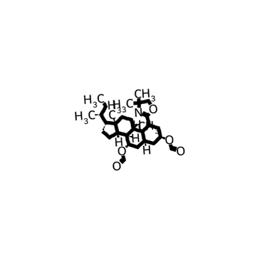 CC[C@@H](C)[C@H]1CC[C@H]2[C@@H]3[C@H](OC=O)C[C@@H]4C[C@H](OC=O)CC(C5=NC(C)(C)CO5)[C@]4(C)[C@H]3CC[C@]12C